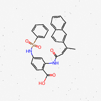 C/C(=C/C(=O)Nc1cc(NS(=O)(=O)c2ccccc2)ccc1C(=O)O)c1ccc2ccccc2c1